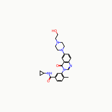 Cc1ccc(C(=O)NC2CC2)cc1-n1cnc2ccc(N3CCN(CCO)CC3)cc2c1=O